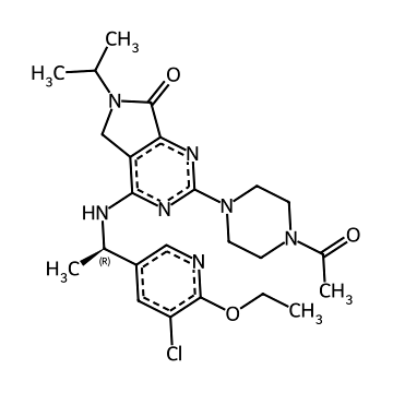 CCOc1ncc([C@@H](C)Nc2nc(N3CCN(C(C)=O)CC3)nc3c2CN(C(C)C)C3=O)cc1Cl